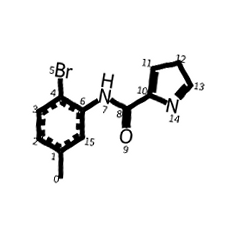 Cc1ccc(Br)c(NC(=O)C2=CCC=N2)c1